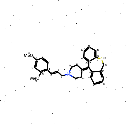 COc1ccc(C=CCN2CCC(=C3c4ccccc4CSc4ccccc43)CC2)c(OC)c1